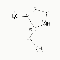 CC[C@H]1NCCC1C